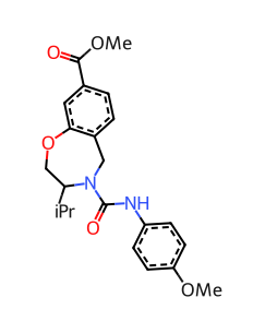 COC(=O)c1ccc2c(c1)OCC(C(C)C)N(C(=O)Nc1ccc(OC)cc1)C2